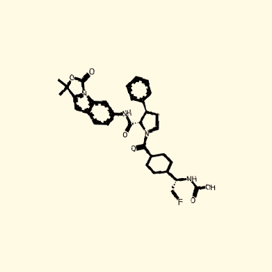 CC1(C)OC(=O)n2c1cc1ccc(NC(=O)[C@@H]3[C@@H](c4ccccc4)CCN3C(=O)C3CCC([C@@H](CF)NC(=O)O)CC3)cc12